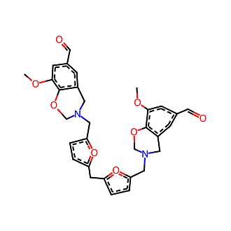 COc1cc(C=O)cc2c1OCN(Cc1ccc(Cc3ccc(CN4COc5c(cc(C=O)cc5OC)C4)o3)o1)C2